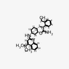 CCc1ccccc1N(C[C@H]1CC[C@@H](Nc2cc(N(C)C)c3ccccc3n2)CC1)C(N)=O